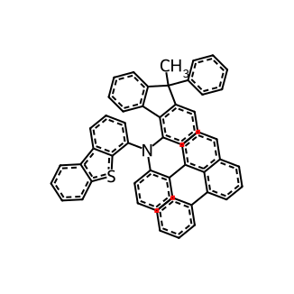 CC1(c2ccccc2)c2ccccc2-c2c(N(c3ccccc3-c3cccc4cccc(-c5ccccc5)c34)c3cccc4c3sc3ccccc34)cccc21